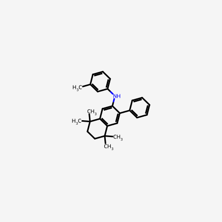 Cc1cccc(Nc2cc3c(cc2-c2ccccc2)C(C)(C)CCC3(C)C)c1